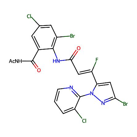 CC(=O)NC(=O)c1cc(Cl)cc(Br)c1NC(=O)/C=C(\F)c1cc(Br)nn1-c1ncccc1Cl